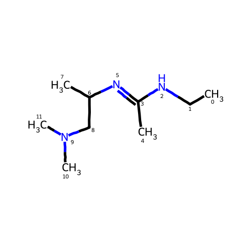 CCN/C(C)=N/C(C)CN(C)C